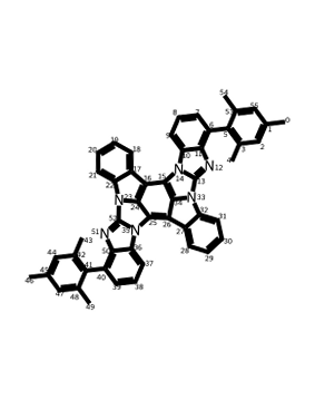 Cc1cc(C)c(-c2cccc3c2nc2n3c3c4c5ccccc5n5c4c(c4c6ccccc6n2c43)n2c3cccc(-c4c(C)cc(C)cc4C)c3nc25)c(C)c1